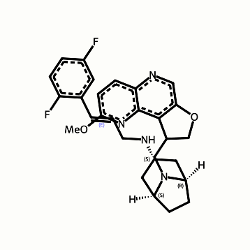 COc1ccc2ncc3c(c2n1)C(CN1[C@@H]2CC[C@H]1C[C@H](NC/C=C/c1cc(F)ccc1F)C2)CO3